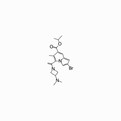 C=C(c1c(C)c(C(=O)OC(C)C)cc2cc(Br)cn12)N1CC(N(C)C)C1